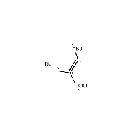 CCCCC=C(C)C(=O)[O-].[Na+]